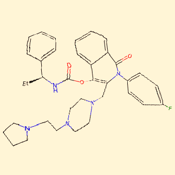 CC[C@H](NC(=O)Oc1c(CN2CCN(CCN3CCCC3)CC2)n(-c2ccc(F)cc2)c(=O)c2ccccc12)c1ccccc1